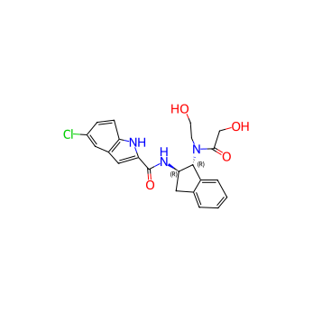 O=C(N[C@@H]1Cc2ccccc2[C@H]1N(CCO)C(=O)CO)c1cc2cc(Cl)ccc2[nH]1